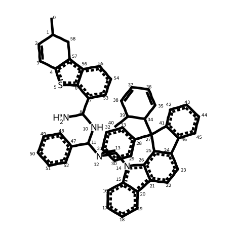 CC1C=Cc2sc3c(C(N)NC(/N=C/n4c5ccccc5c5ccc6c(c54)C(c4ccccc4)(C4C=CC=CC4C)c4ccccc4-6)c4ccccc4)cccc3c2C1